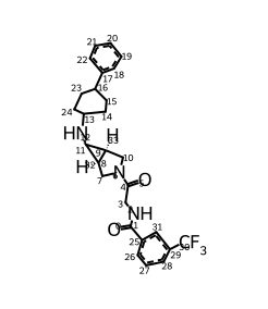 O=C(NCC(=O)N1C[C@@H]2[C@H](C1)[C@@H]2NC1CCC(c2ccccc2)CC1)c1cccc(C(F)(F)F)c1